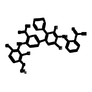 COc1ccc(Cl)c(Nc2ccc(-c3cc(Cl)c(Nc4ccccc4C(=O)O)c(Cl)c3-c3ccccc3)cc2C(=O)O)c1Cl